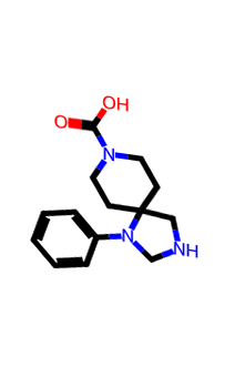 O=C(O)N1CCC2(CC1)CNCN2c1ccccc1